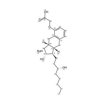 CCCCC[C@@H](O)CC[C@@H]1[C@H]2Cc3cccc(OCC(=O)O)c3C[C@H]2C[C@H]1O.[NaH]